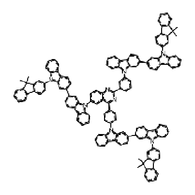 CC1(C)c2ccccc2-c2ccc(-n3c4ccccc4c4ccc(-c5ccc6c7ccccc7n(-c7ccc(-c8nc(-c9cccc(-n%10c%11ccccc%11c%11ccc(-c%12ccc%13c%14ccccc%14n(-c%14ccc%15c(c%14)C(C)(C)c%14ccccc%14-%15)c%13c%12)cc%11%10)c9)nc9ccc(-n%10c%11ccccc%11c%11ccc(-c%12ccc%13c%14ccccc%14n(-c%14ccc%15c(c%14)C(C)(C)c%14ccccc%14-%15)c%13c%12)cc%11%10)cc89)cc7)c6c5)cc43)cc21